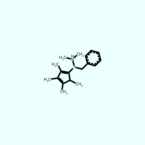 CC1=C(C)C(C)[C]([Ti]([CH2]c2ccccc2)[SiH](C)C)=C1C